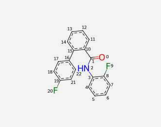 O=C(Nc1ccccc1F)c1ccccc1-c1ccc(F)cc1